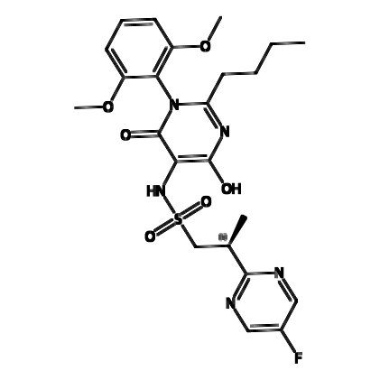 CCCCc1nc(O)c(NS(=O)(=O)C[C@@H](C)c2ncc(F)cn2)c(=O)n1-c1c(OC)cccc1OC